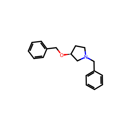 c1ccc(CO[C@H]2CCN(Cc3ccccc3)C2)cc1